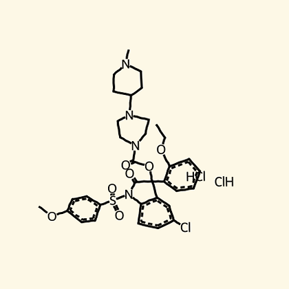 CCOc1ccccc1C1(OC(=O)N2CCN(C3CCN(C)CC3)CC2)C(=O)N(S(=O)(=O)c2ccc(OC)cc2)c2ccc(Cl)cc21.Cl.Cl